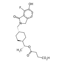 C[C@@H](OC(=O)CCC(=O)O)[C@H]1CC[C@H](CN2Cc3ccc(O)c(F)c3C2=O)CC1